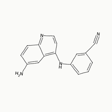 N#Cc1cccc(Nc2ccnc3ccc(N)cc23)c1